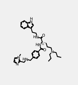 CCCN(CCC)CCC[C@H](NC(=O)c1ccc(CNCc2nccn2C)cc1)C(=O)NCCc1c[nH]c2ccccc12